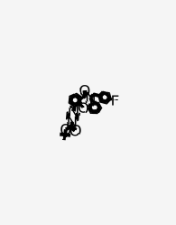 CC(C)(C)OC(=O)N1CCN(c2cccc3c2Oc2ccccc2N(Cc2ccc(F)cc2)C3=O)CC1